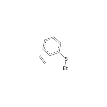 C=C.CCSc1ccccc1